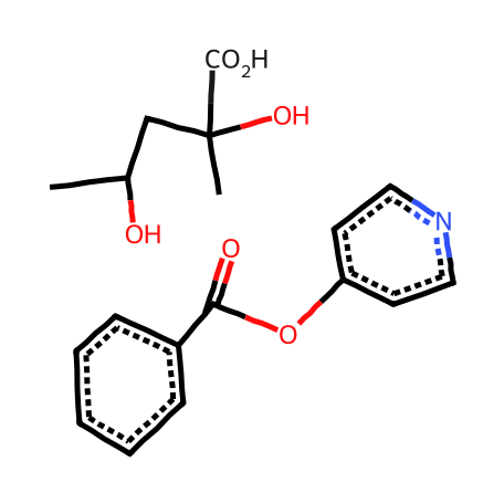 CC(O)CC(C)(O)C(=O)O.O=C(Oc1ccncc1)c1ccccc1